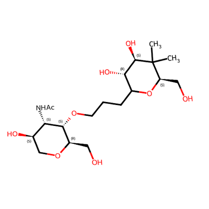 CC(=O)N[C@@H]1[C@H](OCCCC2O[C@H](CO)C(C)(C)[C@H](O)[C@H]2O)[C@@H](CO)OC[C@H]1O